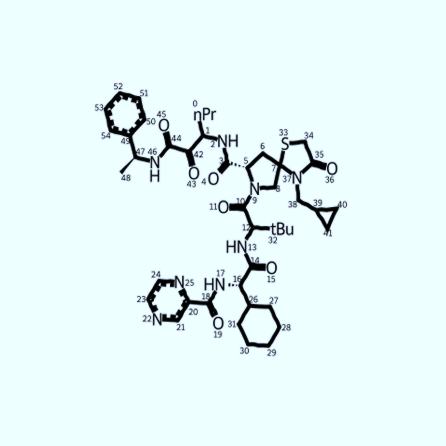 CCCC(NC(=O)[C@@H]1CC2(CN1C(=O)C(NC(=O)[C@@H](NC(=O)c1cnccn1)C1CCCCC1)C(C)(C)C)SCC(=O)N2CC1CC1)C(=O)C(=O)N[C@@H](C)c1ccccc1